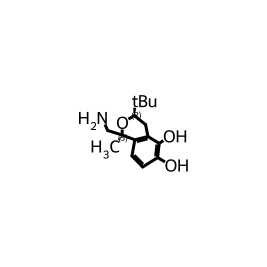 CC(C)(C)[C@H]1Cc2c(ccc(O)c2O)[C@@](C)(CN)O1